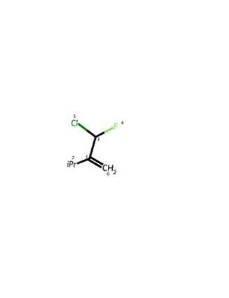 C=C(C(C)C)C(F)Cl